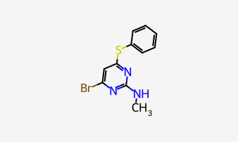 CNc1nc(Br)cc(Sc2ccccc2)n1